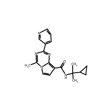 Cc1nc(-c2cccnc2)nc2c(C(=O)NC(C)(C)C3CC3)ccn12